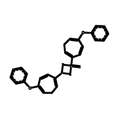 S=P1(C2=CCC=C(Oc3ccccc3)C=C2)SP(C2=CCC=C(Oc3ccccc3)C=C2)S1